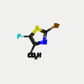 O=C(O)c1nc(Br)sc1F